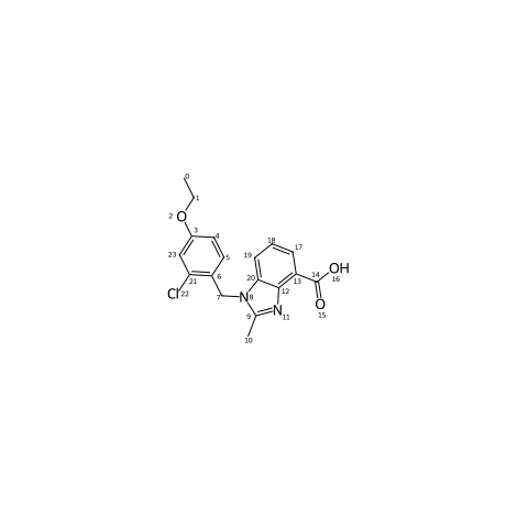 CCOc1ccc(Cn2c(C)nc3c(C(=O)O)cccc32)c(Cl)c1